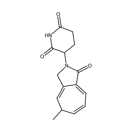 CC1C=CC=C2C(=O)N(C3CCC(=O)NC3=O)CC2=C1